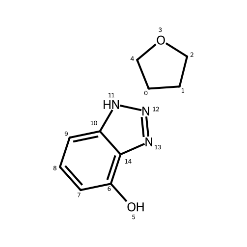 C1CCOC1.Oc1cccc2[nH]nnc12